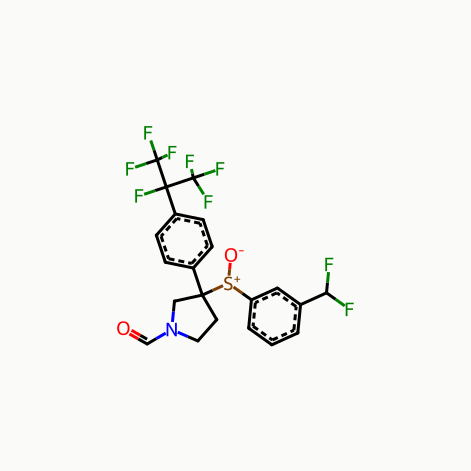 O=CN1CCC(c2ccc(C(F)(C(F)(F)F)C(F)(F)F)cc2)([S+]([O-])c2cccc(C(F)F)c2)C1